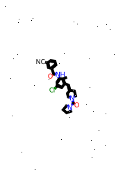 Cc1c(C=C2CCN(C(=O)N3CCCC3)CC2)cc(Cl)cc1NC(=O)c1cccc(C#N)c1